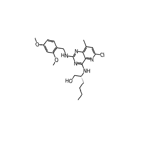 CCCC[C@H](CO)Nc1nc(NCc2ccc(OC)cc2OC)nc2c(C)cc(Cl)nc12